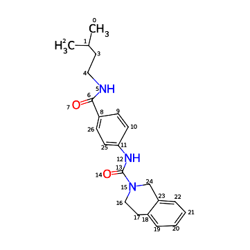 CC(C)CCNC(=O)c1ccc(NC(=O)N2CCc3ccccc3C2)cc1